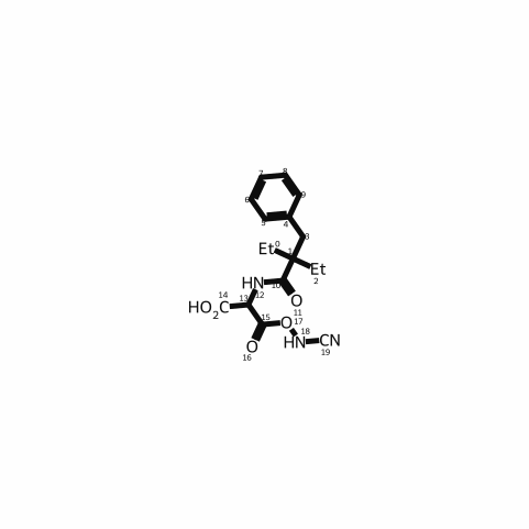 CCC(CC)(Cc1ccccc1)C(=O)NC(C(=O)O)C(=O)ONC#N